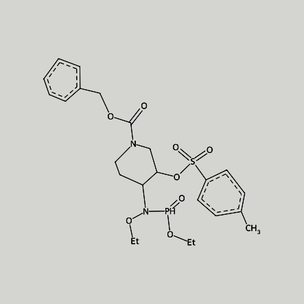 CCON(C1CCN(C(=O)OCc2ccccc2)CC1OS(=O)(=O)c1ccc(C)cc1)[PH](=O)OCC